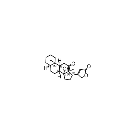 C[C@]12CCCC[C@H]1CC[C@@H]1[C@@H]2CC(=O)[C@]2(C)[C@@H](C3=CC(=O)OC3)CC[C@]12O